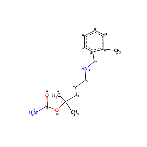 CC(C)(CCCNCc1ccccc1C(F)(F)F)OC(N)=O